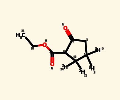 [2H]C1([2H])CC(=O)C(C(=O)OCC)C1([2H])[2H]